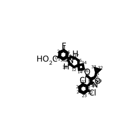 O=C(O)c1cc(F)cc(N2[C@@H]3CC[C@H]2CC2(CC(OCc4c(-c5c(Cl)cccc5Cl)noc4C4CC4)C2)C3)c1